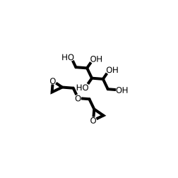 C(OCC1CO1)C1CO1.OCC(O)C(O)C(O)CO